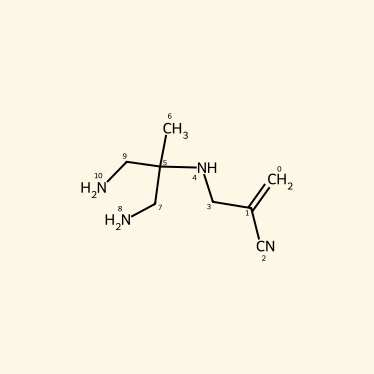 C=C(C#N)CNC(C)(CN)CN